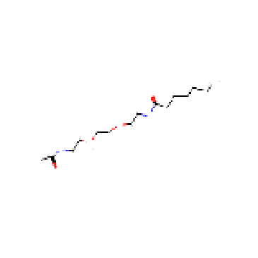 CCCCCCCCCCCCCCCC(=O)NCCOCCOCCNC(=O)CCC